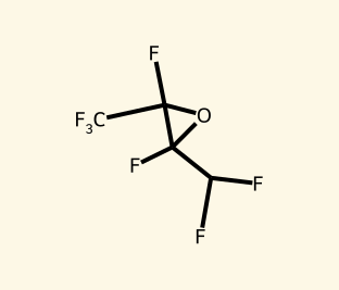 FC(F)C1(F)OC1(F)C(F)(F)F